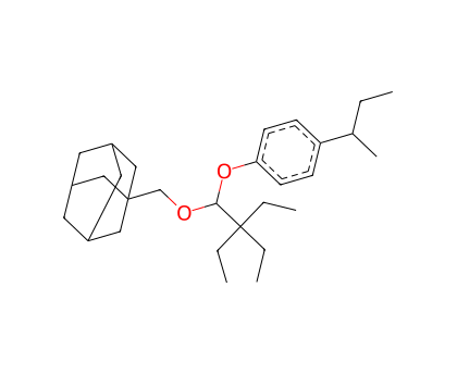 CCC(C)c1ccc(OC(OCC23CC4CC(CC(C4)C2)C3)C(CC)(CC)CC)cc1